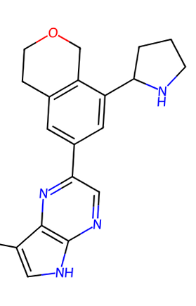 Cc1c[nH]c2ncc(-c3cc4c(c(C5CCCN5)c3)COCC4)nc12